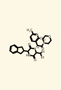 CCC(CC)C1C(=O)NC(C2Cc3ccccc3C2)C(=O)N1[C@@H](C(=O)N1CCOCC1)c1ccc(C)nc1C